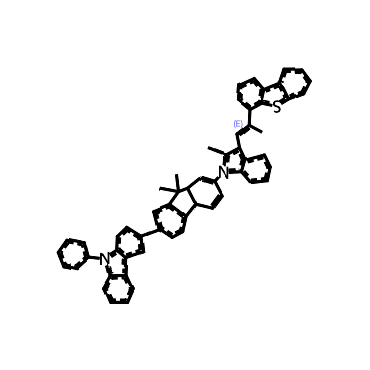 C/C(=C\c1c(C)n(C2=CC3C(C=C2)c2ccc(-c4ccc5c(c4)c4ccccc4n5-c4ccccc4)cc2C3(C)C)c2ccccc12)c1cccc2c1sc1ccccc12